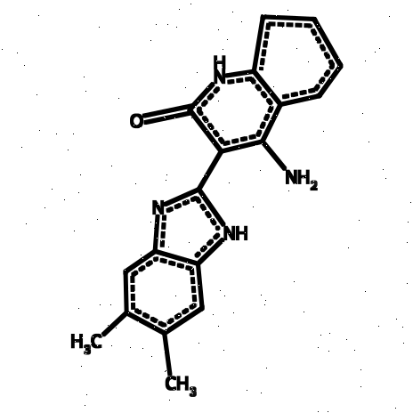 Cc1cc2nc(-c3c(N)c4ccccc4[nH]c3=O)[nH]c2cc1C